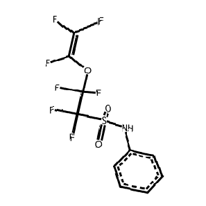 O=S(=O)(Nc1ccccc1)C(F)(F)C(F)(F)OC(F)=C(F)F